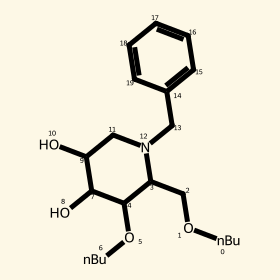 CCCCOCC1C(OCCCC)C(O)C(O)CN1Cc1ccccc1